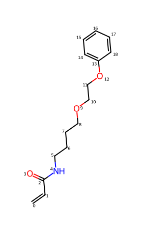 C=CC(=O)NCCCCOCCOc1ccccc1